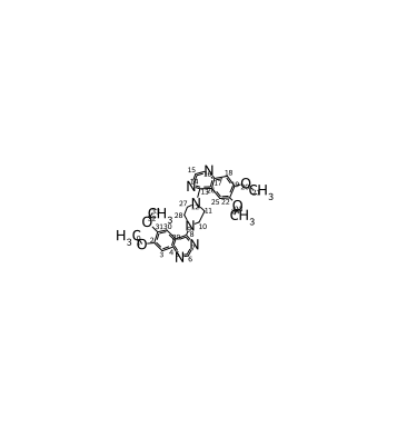 COc1cc2ncnc(N3CCN(c4ncnc5cc(OC)c(OC)cc45)CC3)c2cc1OC